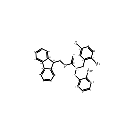 O=Cc1nccnc1SN(Cc1cc(Cl)ccc1C(F)(F)F)C(=O)OCC1c2ccccc2-c2ccccc21